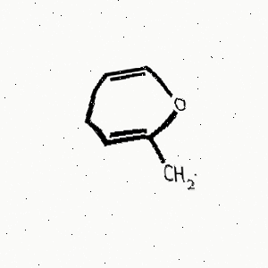 [CH2]C1=CCC=CO1